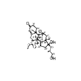 COC(=O)[C@@H]1CC2=CC(=O)CC[C@]2(C)[C@@]23O[C@@H]2C[C@@]2(C)[C@@H](CC[C@@]2(O)CCCO)[C@H]13